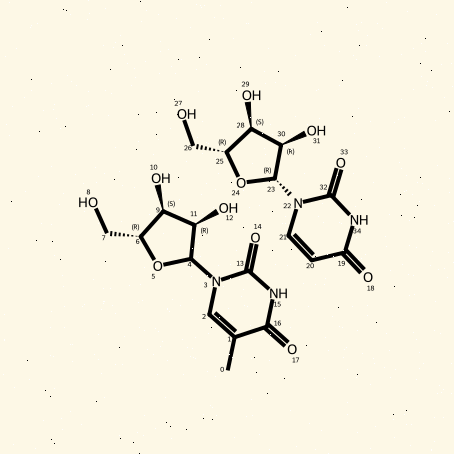 Cc1cn(C2O[C@H](CO)[C@@H](O)[C@H]2O)c(=O)[nH]c1=O.O=c1ccn([C@@H]2O[C@H](CO)[C@@H](O)[C@H]2O)c(=O)[nH]1